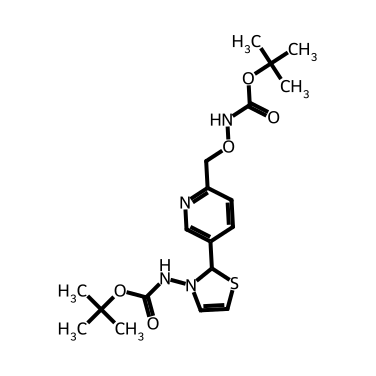 CC(C)(C)OC(=O)NOCc1ccc(C2SC=CN2NC(=O)OC(C)(C)C)cn1